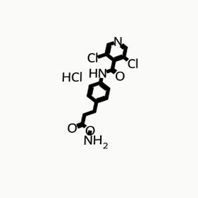 Cl.NOC(=O)CCc1ccc(NC(=O)c2c(Cl)cncc2Cl)cc1